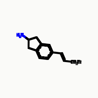 CCOC(=O)/C=C/c1ccc2c(c1)CC(N)C2